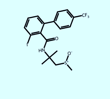 C[S+]([O-])CC(C)(C)NC(=O)c1c(I)cccc1-c1ccc(C(F)(F)F)cc1